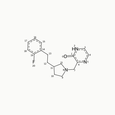 O=c1[nH]ccnc1CN1CCC(CCc2ccccc2F)C1